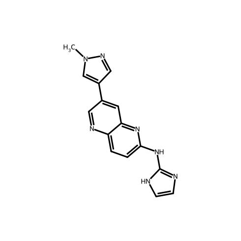 Cn1cc(-c2cnc3ccc(Nc4ncc[nH]4)nc3c2)cn1